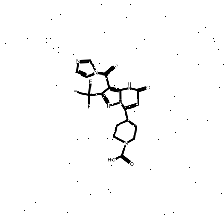 O=C(O)N1CCC(c2cc(=O)[nH]c3c(C(=O)n4ccnc4)c(C(F)(F)F)nn23)CC1